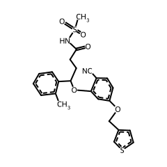 Cc1ccccc1C(CCC(=O)NS(C)(=O)=O)Oc1cc(OCc2ccsc2)ccc1C#N